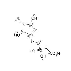 O=C(O)CP(=O)(O)OC[C@H]1O[C@@H](O)C(O)C1O